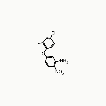 Cc1cc(Cl)ccc1Oc1ccc([N+](=O)[O-])c(N)c1